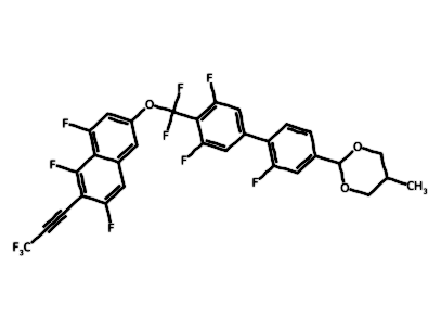 CC1COC(c2ccc(-c3cc(F)c(C(F)(F)Oc4cc(F)c5c(F)c(C#CC(F)(F)F)c(F)cc5c4)c(F)c3)c(F)c2)OC1